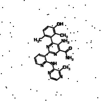 Cc1ccc(O)c(C)c1-c1nc(-c2cccnc2Nc2nccnc2C)nc(C(N)=O)c1N